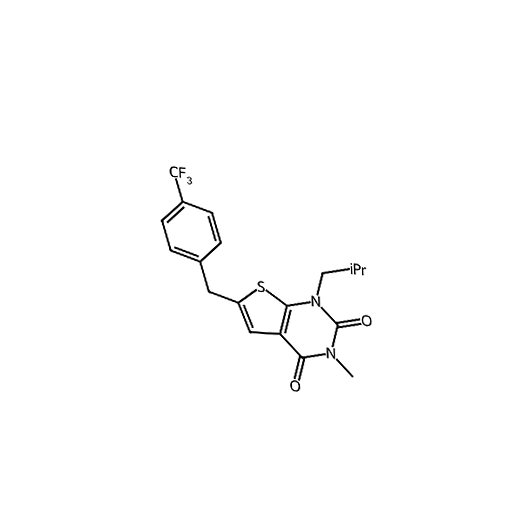 CC(C)Cn1c(=O)n(C)c(=O)c2cc(Cc3ccc(C(F)(F)F)cc3)sc21